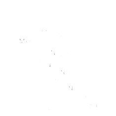 COC1=C(C(=O)OC(c2ccccc2)c2ccccc2)N2C(=O)C(NC(=O)C(NC(=O)OC(C)(C)C)C3=CCC=CC3)[C@@H]2SC1